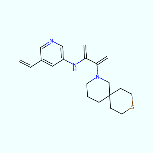 C=Cc1cncc(NC(=C)C(=C)N2CCCC3(CCSCC3)C2)c1